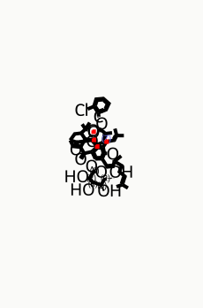 CC(C)=CCCC1(C)C=Cc2c(c(CC=C(C)C)c3c(c2O[C@@H]2O[C@H](CO)[C@@H](O)[C@@H](O)[C@H]2O)C(=O)C2=CC4CC5C(C)(C)OC(C/C=C(/C)C(=O)OCc6ccccc6Cl)(C4=O)C25O3)O1